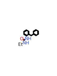 CCNC(=O)Nc1ccccc1Cc1ccccc1